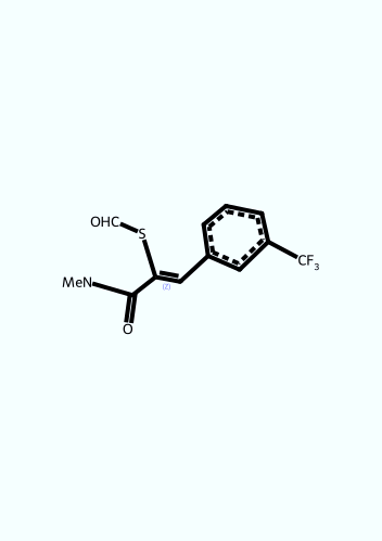 CNC(=O)/C(=C/c1cccc(C(F)(F)F)c1)SC=O